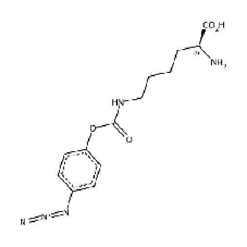 [N-]=[N+]=Nc1ccc(OC(=O)NCCCC[C@H](N)C(=O)O)cc1